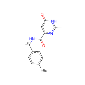 Cc1nc(C(=O)N[C@@H](C)c2ccc(C(C)(C)C)cc2)cc(=O)[nH]1